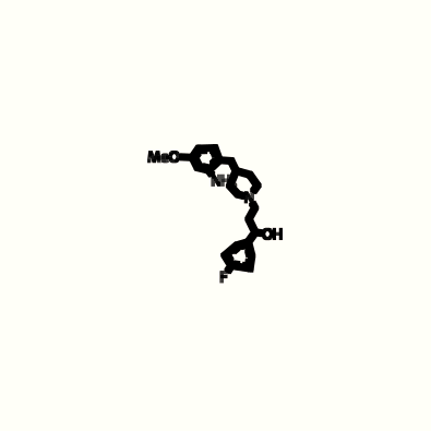 COc1ccc(CC2CCN(CCC(O)c3ccc(F)cc3)CC2)c(N)c1